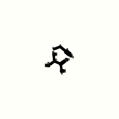 CCC#N.O=C(O)N(S)S